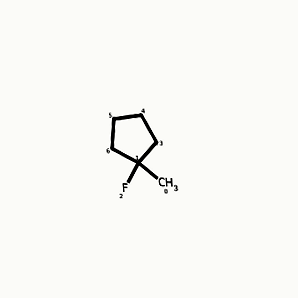 CC1(F)[CH]CCC1